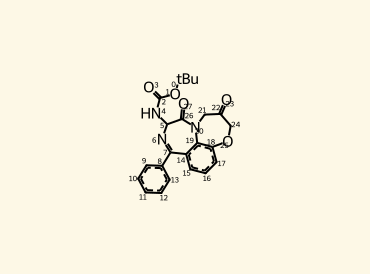 CC(C)(C)OC(=O)NC1N=C(c2ccccc2)c2cccc3c2N(CC(=O)CO3)C1=O